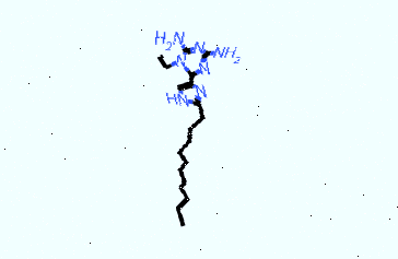 CCCCCCCCCCCc1nc(C2N=C(N)N=C(N)N2CC)c[nH]1